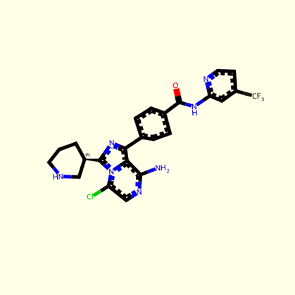 Nc1ncc(Cl)n2c([C@@H]3CCCNC3)nc(-c3ccc(C(=O)Nc4cc(C(F)(F)F)ccn4)cc3)c12